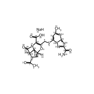 CC(=O)N1C[C@H]2OC(CSc3cc(C)nc4nc(C(N)=O)nn34)=C(C(=O)O)N3C(=O)[C@@H]1[C@@H]23.[NaH]